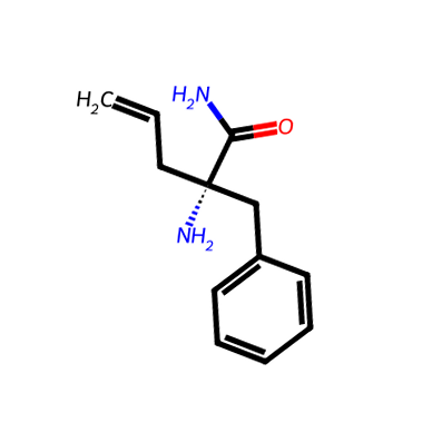 C=CC[C@](N)(Cc1ccccc1)C(N)=O